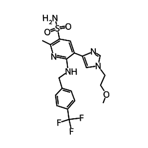 COCCn1cnc(-c2cc(S(N)(=O)=O)c(C)nc2NCc2ccc(C(F)(F)F)cc2)c1